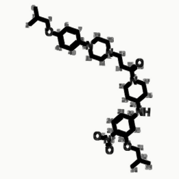 CC(C)COc1ccc(N2CCN(CCC(=O)N3CCC(Nc4ccc([N+](=O)[O-])c(OCC(C)C)c4)CC3)CC2)cc1